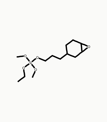 CCO[Si](OC)(OC)OCCCC1CCC2OC2C1